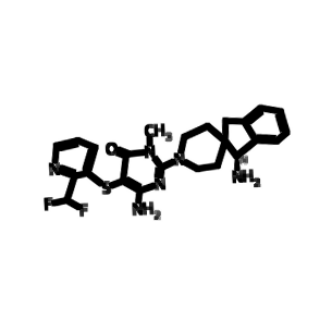 Cn1c(N2CCC3(CC2)Cc2ccccc2[C@H]3N)nc(N)c(Sc2cccnc2C(F)F)c1=O